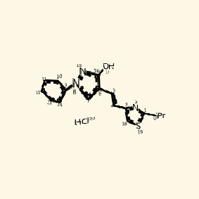 CC(C)c1nc(C=Cc2cn(-c3ccccc3)nc2O)cs1.Cl